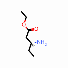 CCOC(=O)C[C@H](N)CC